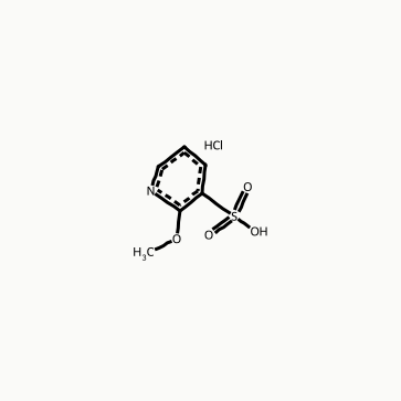 COc1ncccc1S(=O)(=O)O.Cl